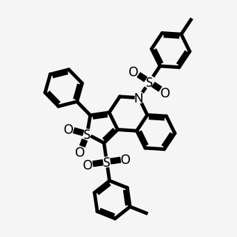 Cc1ccc(S(=O)(=O)N2CC3=C(c4ccccc4)S(=O)(=O)C(S(=O)(=O)c4cccc(C)c4)=C3c3ccccc32)cc1